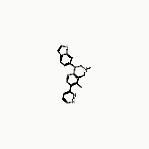 Cc1c(-c2cccnn2)ccc2c1CN(C)CC2c1ccc2ccsc2c1